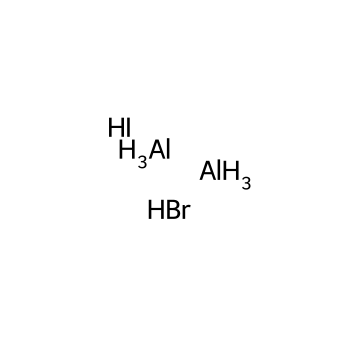 Br.I.[AlH3].[AlH3]